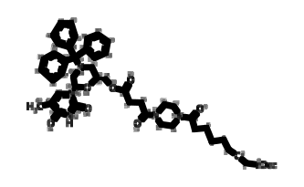 CCCCCCCCCCCCCCCCCC(=O)N1CCN(C(=O)CCC(=O)OC[C@@H]2CN(C(c3ccccc3)(c3ccccc3)c3ccccc3)C[C@H](n3cc(C)c(=O)[nH]c3=O)O2)CC1